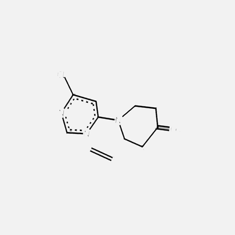 C=C.O=C1CCN(c2cc(Cl)ncn2)CC1